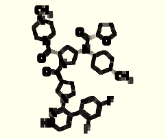 CN1CCN(C(=O)[C@@H]2C[C@H](N(C(=O)[C@@H]3CCCO3)[C@H]3CC[C@@H](C)CC3)CN2C(=O)[C@H]2CCN(C3=NNCC=C3c3ccc(F)cc3F)C2)CC1